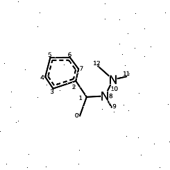 CC(c1ccccc1)N(C)N(C)C